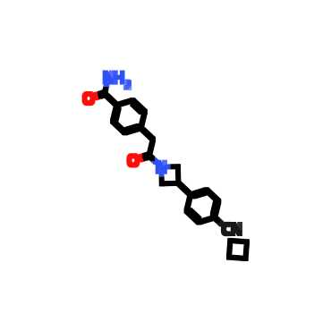 C1CCC1.N#Cc1ccc(C2CN(C(=O)Cc3ccc(C(N)=O)cc3)C2)cc1